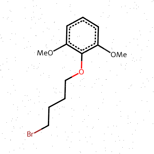 COc1cccc(OC)c1OCCCCBr